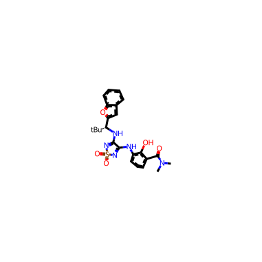 CN(C)C(=O)c1cccc(NC2=NS(=O)(=O)N=C2N[C@@H](c2cc3ccccc3o2)C(C)(C)C)c1O